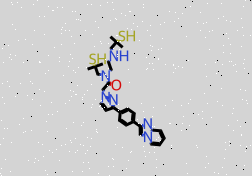 CC(C)(S)CNCCN(CC(C)(C)S)C(=O)Cn1ccc(-c2ccc(-c3cn4ccccc4n3)cc2)n1